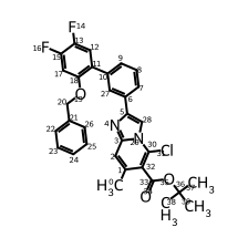 Cc1cc2nc(-c3cccc(-c4cc(F)c(F)cc4OCc4ccccc4)c3)cn2c(Cl)c1C(=O)OC(C)(C)C